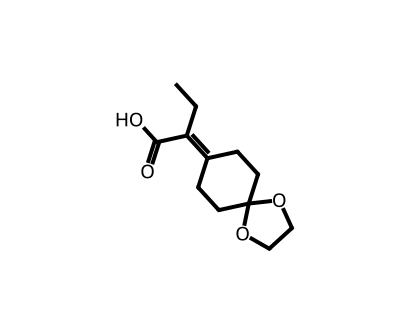 CCC(C(=O)O)=C1CCC2(CC1)OCCO2